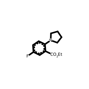 CCOC(=O)c1cc(F)ccc1N1CCCC1